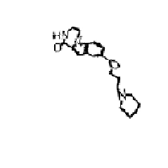 O=C1NCCn2c1cc1cc(OCCCN3CCCCC3)ccc12